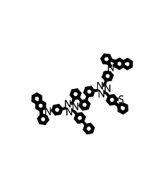 c1ccc(-c2ccc(-c3nc(-c4ccc(-n5c6ccccc6c6cc7ccccc7cc65)cc4)nc(-c4ccccc4-c4ccccc4-c4cccc(-c5nc(-c6ccc(-n7c8ccccc8c8cc9ccccc9cc87)cc6)nc(-c6ccc7c(c6)sc6ccccc67)n5)c4)n3)cc2)cc1